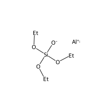 CCO[Si]([O-])(OCC)OCC.[Al+]